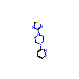 c1ccc(N2CCN(c3ncsn3)CC2)nc1